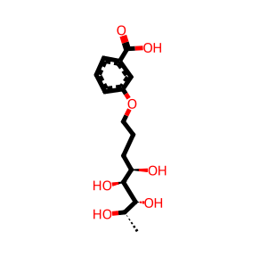 C[C@H](O)[C@@H](O)[C@@H](O)[C@H](O)CCCOc1cccc(C(=O)O)c1